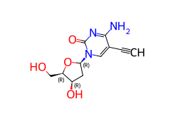 C#Cc1cn([C@H]2C[C@@H](O)[C@@H](CO)O2)c(=O)nc1N